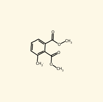 [CH2]c1cccc(C(=O)OC)c1C(=O)OC